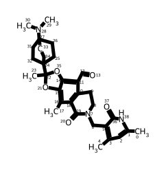 Cc1cc(C)c(CN2CCc3c(C=O)c4c(c(C)c3C2=O)OC(C)(C23CCC(N(C)C)(CC2)CC3)O4)c(=O)[nH]1